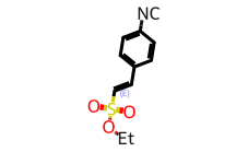 [C-]#[N+]c1ccc(/C=C/S(=O)(=O)OCC)cc1